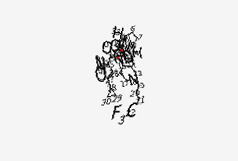 O=C(N[C@H]1C[C@H]2CC[C@@H](C1)N2S(=O)(=O)CC1CCN(CCCC(F)(F)F)CC1)c1cc(C2CC2)on1